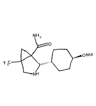 CO[C@H]1CC[C@H](C2NCC3(C(F)(F)F)CC23C(N)=O)CC1